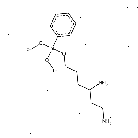 CCO[Si](OCC)(OCCCC(N)CCN)c1ccccc1